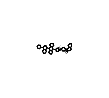 c1ccc(-c2ccc(-c3c4ccccc4c(-c4ccc5c(c4)sc4cc6c(cc45)oc4ccc5ccccc5c46)c4ccccc34)c3ccccc23)cc1